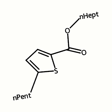 CCCCCCCOC(=O)c1ccc(CCCCC)s1